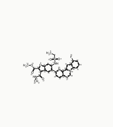 CCS(=O)(=O)Nc1cc2oc(C(=O)OC)c(C(=O)NC)c2cc1-c1ccc2ncn3c4cccc(F)c4cc3c2n1